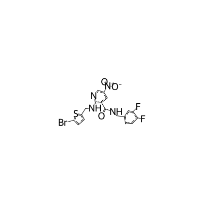 O=C(NCc1ccc(F)c(F)c1)c1cc([N+](=O)[O-])cnc1NCc1ccc(Br)s1